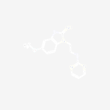 N=c1sc2cc(OC(F)(F)F)ccc2n1CCSc1ncccn1